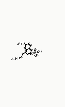 COc1ccc2cccc(CCNC(C)=O)c2c1.O=P(O)(O)O